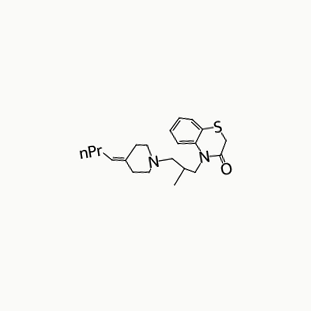 CCCC=C1CCN(CC(C)CN2C(=O)CSc3ccccc32)CC1